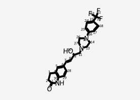 O=C1CCc2cc(/C=C/C(O)CN3CCN(c4ccc(C(F)(F)F)cc4)CC3)ccc2N1